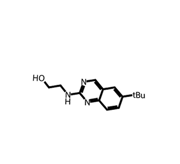 CC(C)(C)c1ccc2nc(NCCO)ncc2c1